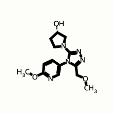 COCc1nnc(N2CC[C@H](O)C2)n1-c1ccc(OC)nc1